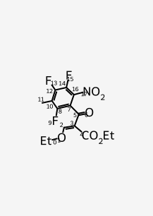 CCOC=C(C(=O)OCC)C(=O)c1c(F)c(C)c(F)c(F)c1[N+](=O)[O-]